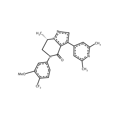 COc1cc(N2C[C@H](C)n3ncc(-c4cc(C)nc(C)c4)c3C2=O)ccc1C(F)(F)F